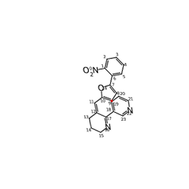 O=[N+]([O-])c1ccccc1-c1ccc(/C=C2/CCCN=C2c2cccnc2)o1